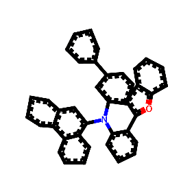 c1ccc(-c2cccc(N(c3ccccc3-c3cc4ccccc4o3)c3cc4ccccc4c4ccccc34)c2)cc1